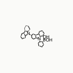 OB(O)c1ccccc1-n1c2ccccc2c2cc(-n3c4c(c5ccccc53)CCC=C4)ccc21